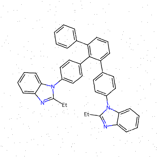 CCc1nc2ccccc2n1-c1ccc(-c2cccc(-c3ccccc3)c2-c2ccc(-n3c(CC)nc4ccccc43)cc2)cc1